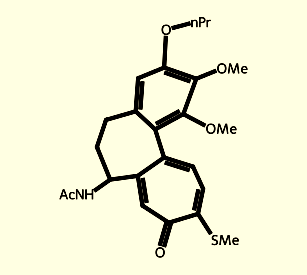 CCCOc1cc2c(c(OC)c1OC)-c1ccc(SC)c(=O)cc1C(NC(C)=O)CC2